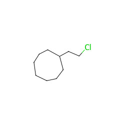 ClCCC1CCCCCCC1